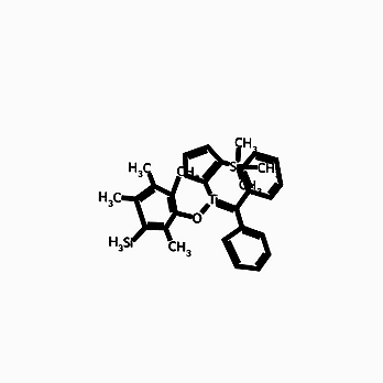 Cc1c(C)c([SiH3])c(C)c([O][Ti]([C]2=C([Si](C)(C)C)C=CC2)=[C](c2ccccc2)c2ccccc2)c1C